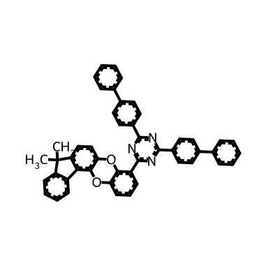 CC1(C)c2ccccc2-c2c1ccc1c2Oc2cccc(-c3nc(-c4ccc(-c5ccccc5)cc4)nc(-c4ccc(-c5ccccc5)cc4)n3)c2O1